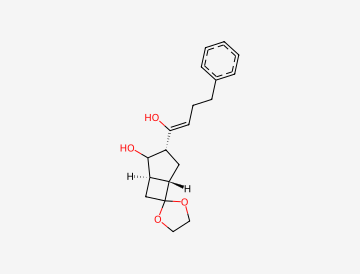 OC(=CCCc1ccccc1)[C@@H]1C[C@H]2[C@@H](CC23OCCO3)C1O